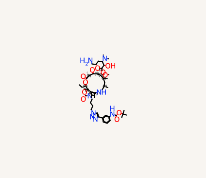 CC[C@H]1OC(=O)[C@H](C)C(=O)[C@H](C)[C@@H](O[C@@H]2OC(CN)CC(N(C)C)C2O)[C@](C)(OC)C[C@@H](C)CN[C@H](C)[C@H]2N(CCCCn3cc(-c4cccc(NC(=O)OC(C)(C)C)c4)nn3)C(=O)O[C@]12C